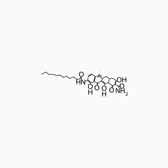 CCCCCCCCCCCC(=O)Nc1ccc2c(c1O)C(=O)C1=C(O)C3C(=O)C(C(N)=O)=C(O)CC3CC1[C@H]2C